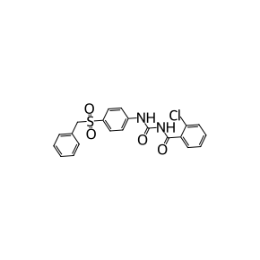 O=C(NC(=O)c1ccccc1Cl)Nc1ccc(S(=O)(=O)Cc2ccccc2)cc1